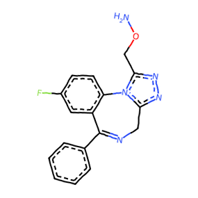 NOCc1nnc2n1-c1ccc(F)cc1C(c1ccccc1)=NC2